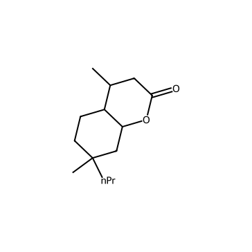 CCCC1(C)CCC2C(C)CC(=O)OC2C1